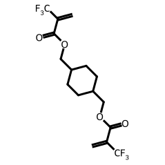 C=C(C(=O)OCC1CCC(COC(=O)C(=C)C(F)(F)F)CC1)C(F)(F)F